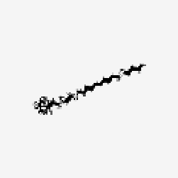 CCCCOCCCCCCCCCCOCCSCCCP(=O)(O)O